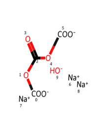 O=C([O-])OC(=O)OC(=O)[O-].[Na+].[Na+].[Na+].[OH-]